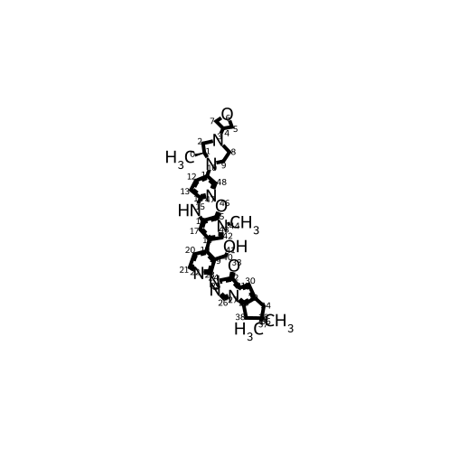 C[C@H]1CN(C2COC2)CCN1c1ccc(Nc2cc(-c3ccnc(-n4ncn5c6c(cc5c4=O)CC(C)(C)C6)c3CO)cn(C)c2=O)nc1